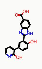 O=C(O)c1ccc2[nH]c(-c3cc(-c4cccnc4O)ccc3O)nc2c1